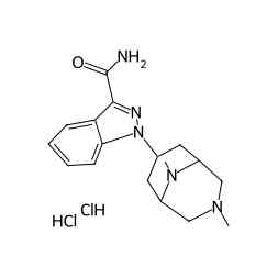 CN1CC2CC(n3nc(C(N)=O)c4ccccc43)CC(C1)N2C.Cl.Cl